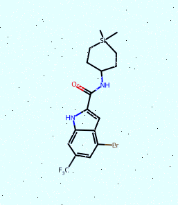 C[Si]1(C)CCC(NC(=O)c2cc3c(Br)cc(C(F)(F)F)cc3[nH]2)CC1